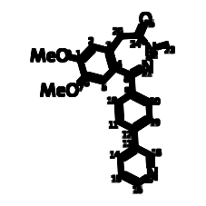 COc1cc2c(cc1OC)C(c1ccc(-c3cccnc3)cc1)=NN(C)C(=O)C2